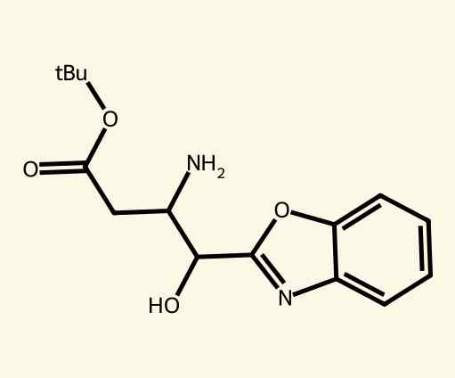 CC(C)(C)OC(=O)CC(N)C(O)c1nc2ccccc2o1